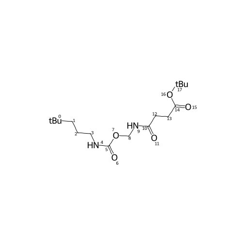 CC(C)(C)CCCNC(=O)OCNC(=O)CCC(=O)OC(C)(C)C